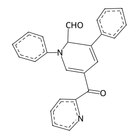 O=CC1C(c2ccccc2)=CC(C(=O)c2ccccn2)=CN1c1ccccc1